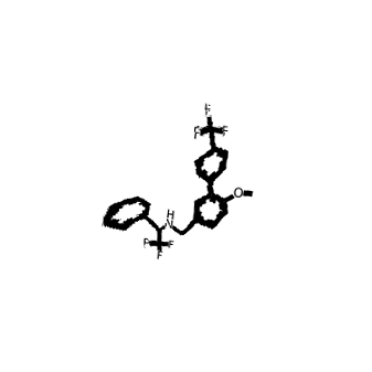 COc1ccc(CN[C@H](c2ccccc2)C(F)(F)F)cc1-c1ccc(C(F)(F)F)cc1